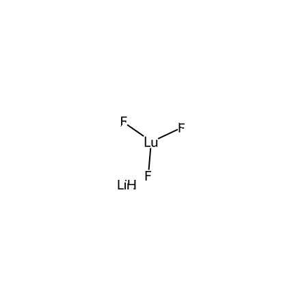 [F][Lu]([F])[F].[LiH]